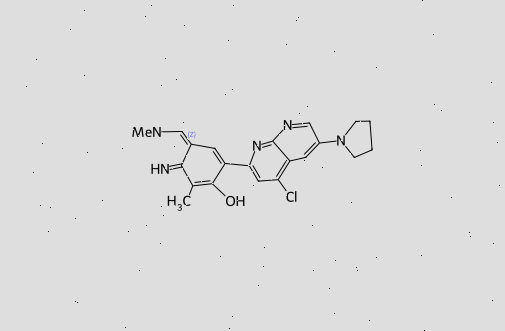 CN/C=C1/C=C(c2cc(Cl)c3cc(N4CCCC4)cnc3n2)C(O)=C(C)C1=N